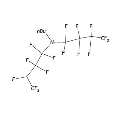 CCCCN(C(F)(F)C(F)(F)C(F)C(F)(F)F)C(F)(F)C(F)(F)C(F)(F)C(F)(F)F